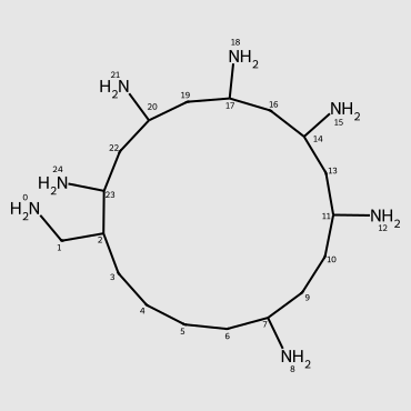 NCC1CCCCC(N)CCC(N)CC(N)CC(N)CC(N)CC1N